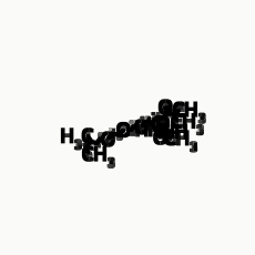 CCC(C)CCOCCOCCOCC(CCC(=O)C(C)C)NS(=O)(=O)NC